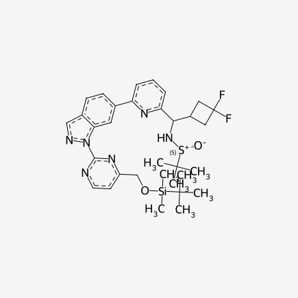 CC(C)(C)[S@@+]([O-])NC(c1cccc(-c2ccc3cnn(-c4nccc(CO[Si](C)(C)C(C)(C)C)n4)c3c2)n1)C1CC(F)(F)C1